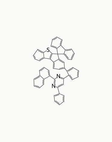 c1ccc(-c2cc(-c3ccccc3-c3ccc4c(c3)C3(c5ccccc5-c5ccccc53)c3sc5ccccc5c3-4)nc(-c3cccc4ccccc34)n2)cc1